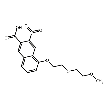 COCCOCCOc1cccc2cc(C(=O)O)c(I(=O)=O)cc12